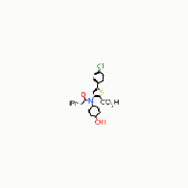 CC(C)CC(=O)N(c1cc(-c2ccc(Cl)cc2)sc1C(=O)O)C1CCC(O)CC1